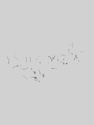 CC(c1ccc2nc(NC(=O)C3CC3)cn2n1)c1nnc2ccc(-c3ccc(F)cc3)cn12